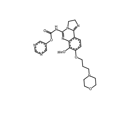 COc1c(OCCCN2CCOCC2)ccc2c1N=C(NC(=O)Oc1cncnc1)N1CCN=C21